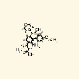 CCOc1ccc(-c2c(N(CC)C3CCOCC3)ccc([C@H](CC)CC(=O)O)c2N)cc1